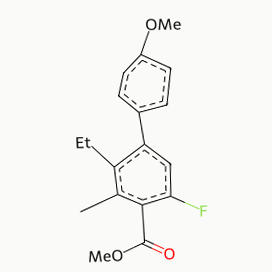 CCc1c(-c2ccc(OC)cc2)cc(F)c(C(=O)OC)c1C